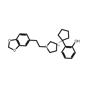 Oc1ccc[c]c1C1([C@@H]2CCN(CCc3ccc4c(c3)OCO4)C2)CCCC1